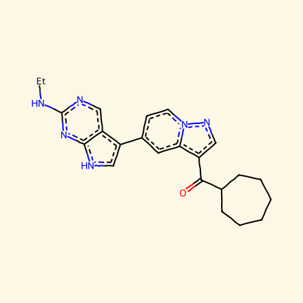 CCNc1ncc2c(-c3ccn4ncc(C(=O)C5CCCCCC5)c4c3)c[nH]c2n1